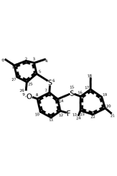 Cc1cc(C)c(Sc2c([O])ccc(F)c2Sc2c(C)cc(C)cc2C)c(C)c1